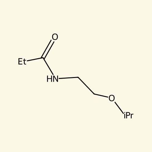 CCC(=O)NCCOC(C)C